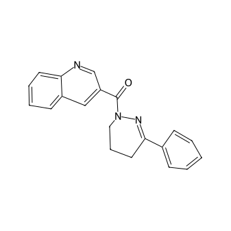 O=C(c1cnc2ccccc2c1)N1CCCC(c2ccccc2)=N1